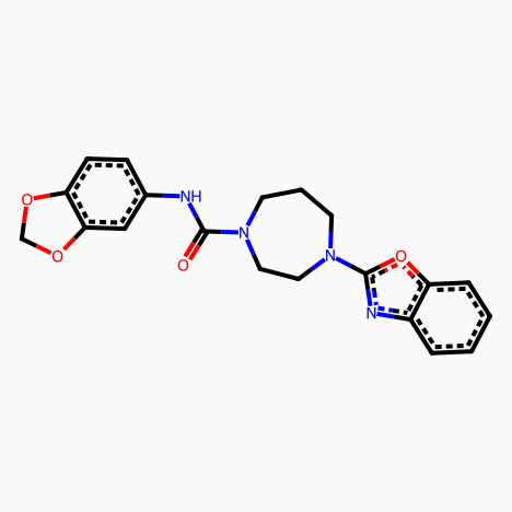 O=C(Nc1ccc2c(c1)OCO2)N1CCCN(c2nc3ccccc3o2)CC1